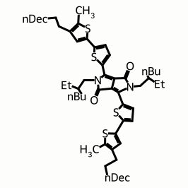 CCCCCCCCCCCCc1cc(-c2ccc(C3=C4C(=O)N(CC(CC)CCCC)C(c5ccc(-c6cc(CCCCCCCCCCCC)c(C)s6)s5)=C4C(=O)N3CC(CC)CCCC)s2)sc1C